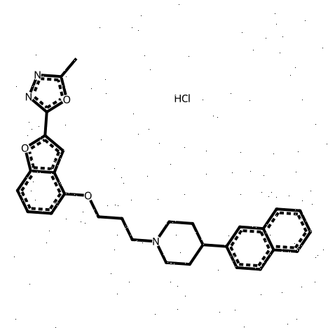 Cc1nnc(-c2cc3c(OCCCN4CCC(c5ccc6ccccc6c5)CC4)cccc3o2)o1.Cl